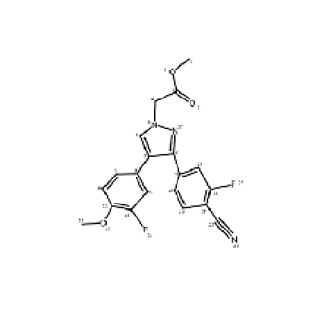 COC(=O)Cn1cc(-c2ccc(OC)c(F)c2)c(-c2ccc(C#N)c(F)c2)n1